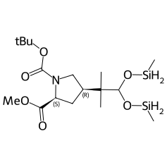 COC(=O)[C@@H]1C[C@H](C(C)(C)C(O[SiH2]C)O[SiH2]C)CN1C(=O)OC(C)(C)C